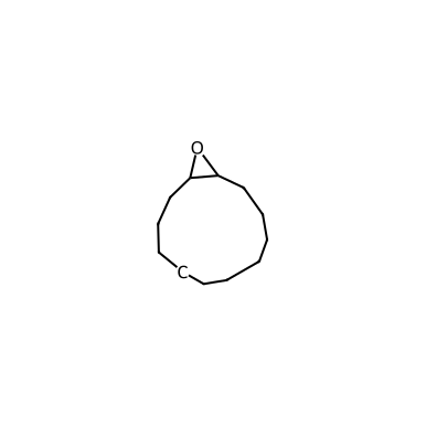 C1CCCCCC2OC2CCCC1